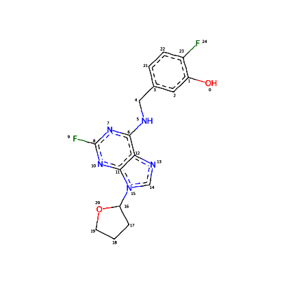 Oc1cc(CNc2nc(F)nc3c2ncn3C2CCCO2)ccc1F